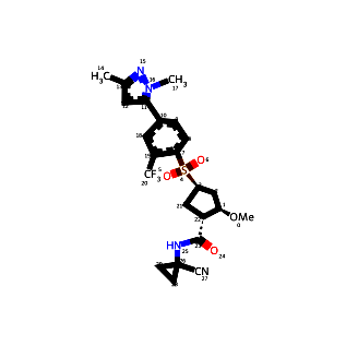 CO[C@@H]1C[C@H](S(=O)(=O)c2ccc(-c3cc(C)nn3C)cc2C(F)(F)F)C[C@H]1C(=O)NC1(C#N)CC1